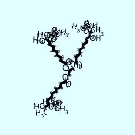 C[C@H](O)C(CCCCCCCC(=O)OCC(COC(=O)CCCCCCCC(O)[C@H](C)OP(C)(C)=O)OC(=O)CCCCCCCC(OP(C)(C)=O)[C@H](C)O)OP(C)(C)=O